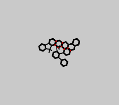 CC1(C)c2ccccc2-c2cccc(N(c3ccc4c(ccc5ccccc54)c3)c3cccc(-c4ccccc4)c3-c3ccccc3-c3ccccc3)c21